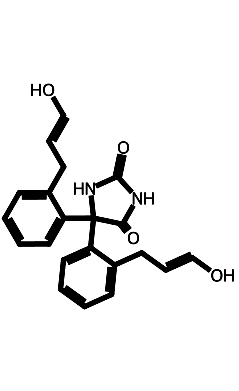 O=C1NC(=O)C(c2ccccc2CC=CO)(c2ccccc2CC=CO)N1